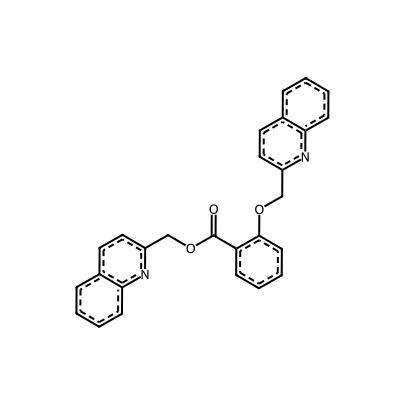 O=C(OCc1ccc2ccccc2n1)c1ccccc1OCc1ccc2ccccc2n1